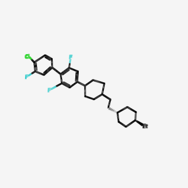 CC[C@H]1CC[C@H](CCC2CCC(c3cc(F)c(-c4ccc(Cl)c(F)c4)c(F)c3)CC2)CC1